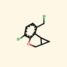 BrCc1ccc(Br)c2c1C1CC1CO2